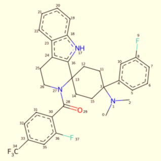 CN(C)C1(c2cccc(F)c2)CCC2(CC1)c1[nH]c3ccccc3c1CCN2C(=O)c1ccc(C(F)(F)F)cc1F